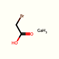 O=C(O)CBr.[GaH3]